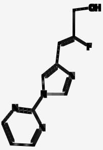 OCC(F)=Cc1cn(-c2ncccn2)cn1